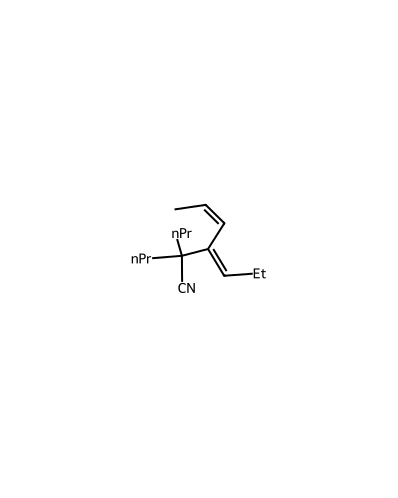 C/C=C\C(=C/CC)C(C#N)(CCC)CCC